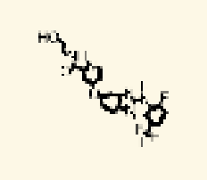 Cn1c(Nc2cc(C(F)(F)F)ccc2F)nc2cc(Oc3ccnc(C(=O)NCCO)c3)ccc21